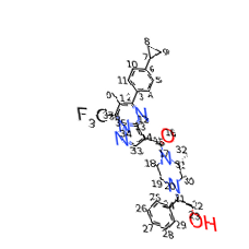 Cc1c(-c2ccc(C3CC3)cc2)nc2c(C(=O)N3CCN([C@@H](CO)c4ccccc4)C[C@H]3C)cnn2c1C(F)(F)F